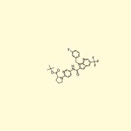 CC(C)(C)OC(=O)C1CCCN1c1ccc(NC(=O)c2cc3cc(C(F)(F)F)cnc3n2Cc2cccc(F)c2)cn1